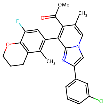 COC(=O)c1c(C)cn2cc(-c3cccc(Cl)c3)nc2c1-c1cc(F)c2c(c1C)CCCO2